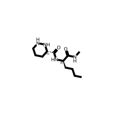 CCCC[C@@H](NC(=O)[C@@H]1CCCNN1)C(=O)NC